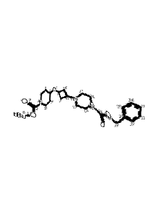 CC(C)(C)OC(=O)N1CCC(OC2CC(N3CCN(C(=O)OCc4ccccc4)CC3)C2)CC1